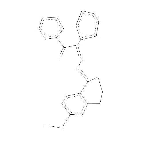 COc1ccc2c(c1)CCCC2=NN=C(C(=O)c1ccccc1)c1ccccc1